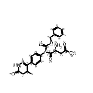 CC1CC(=O)NN=C1c1ccc(N(C(=O)OCc2ccccc2)C(=O)[C@@H](N)CC(=O)O)cc1